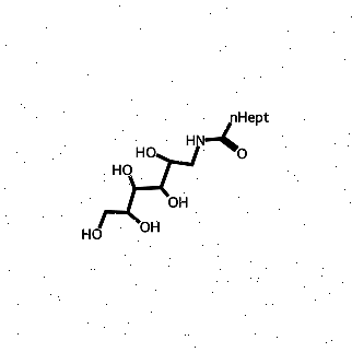 CCCCCCCC(=O)NCC(O)C(O)C(O)C(O)CO